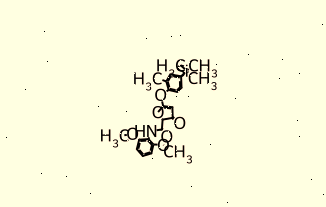 COc1cccc(OC)c1NC(=O)C1OC(Oc2ccc([Si](C)(C)C)cc2C)=CC1=O